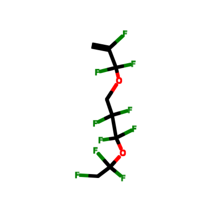 C=C(F)C(F)(F)OCC(F)(F)C(F)(F)OC(F)(F)CF